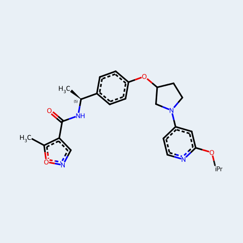 Cc1oncc1C(=O)N[C@@H](C)c1ccc(OC2CCN(c3ccnc(OC(C)C)c3)C2)cc1